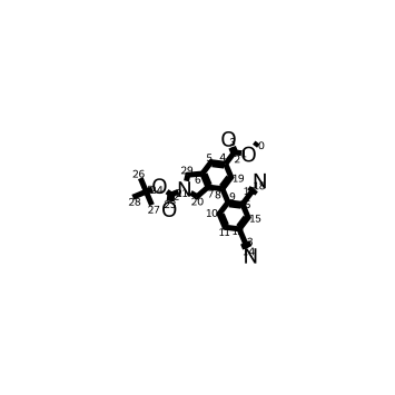 COC(=O)c1cc2c(c(-c3ccc(C#N)cc3C#N)c1)CN(C(=O)OC(C)(C)C)C2